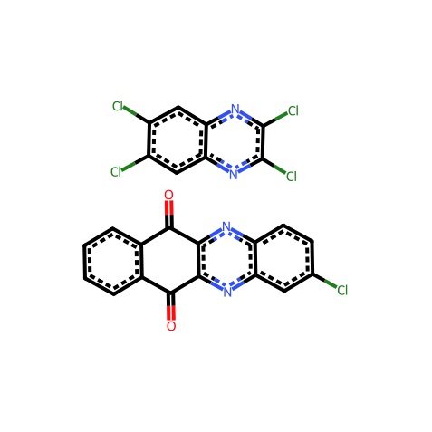 Clc1cc2nc(Cl)c(Cl)nc2cc1Cl.O=C1c2ccccc2C(=O)c2nc3cc(Cl)ccc3nc21